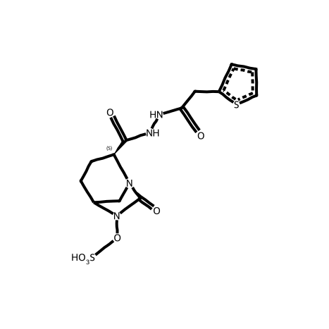 O=C(Cc1cccs1)NNC(=O)[C@@H]1CCC2CN1C(=O)N2OS(=O)(=O)O